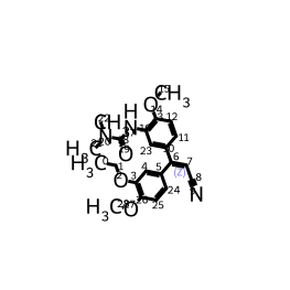 CCOc1cc(/C(=C\C#N)c2ccc(OC)c(NC(=O)N(C)C)c2)ccc1OC